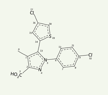 Cc1c(C(=O)O)nn(-c2ccc(Cl)cc2)c1-c1cc(Cl)cs1